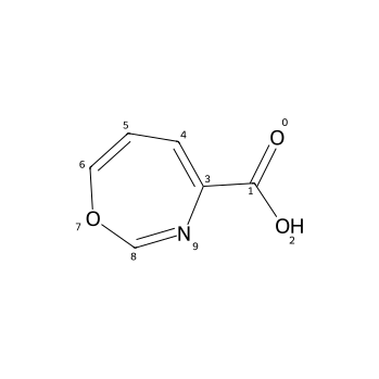 O=C(O)C1=CC=COC=N1